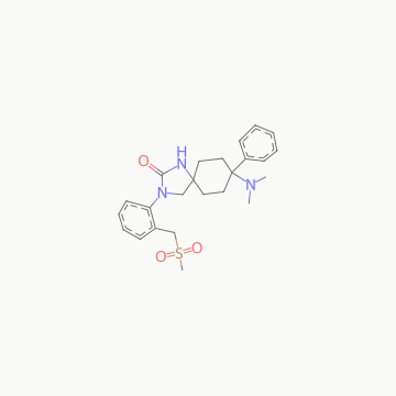 CN(C)C1(c2ccccc2)CCC2(CC1)CN(c1ccccc1CS(C)(=O)=O)C(=O)N2